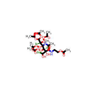 CC(=O)OCCNC(=O)[C@@](O)(C(O)Br)[C@@](Br)(OOC(C)=O)[C@@](OOC(C)=O)(N(C)C(C)=O)[C@@](Br)(OOC(C)=O)[C](OC(C)=O)OC(C)=O